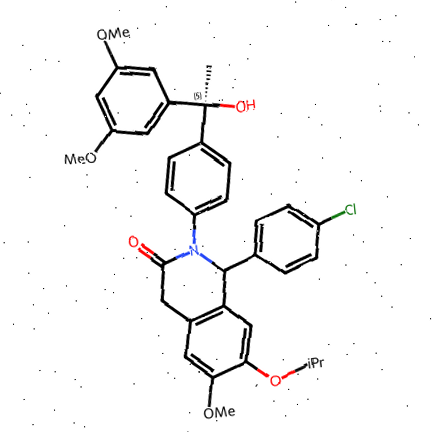 COc1cc(OC)cc([C@@](C)(O)c2ccc(N3C(=O)Cc4cc(OC)c(OC(C)C)cc4C3c3ccc(Cl)cc3)cc2)c1